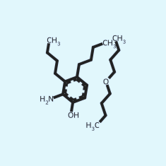 CCCCOCCCC.CCCCc1ccc(O)c(N)c1CCCC